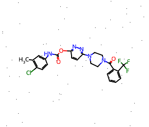 Cc1cc(NC(=O)Oc2ccc(N3CCN(C(=O)c4ccccc4C(F)(F)F)CC3)nn2)ccc1Cl